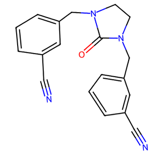 N#Cc1cccc(CN2CCN(Cc3cccc(C#N)c3)C2=O)c1